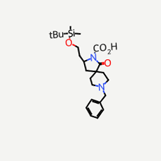 CC(C)(C)[Si](C)(C)OCCC1CC2(CCN(Cc3ccccc3)CC2)C(=O)N1C(=O)O